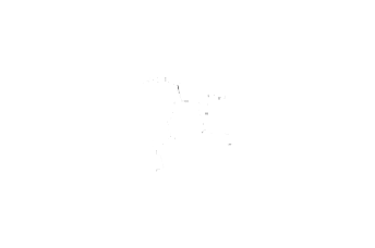 C=CCO[C@@H](CC=O)[C@H](O)CO